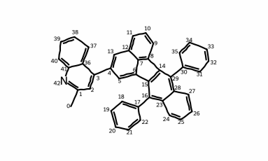 Cc1cc(-c2cc3c4c(cccc4c2)-c2c-3c(-c3ccccc3)c3ccccc3c2-c2ccccc2)c2ccccc2n1